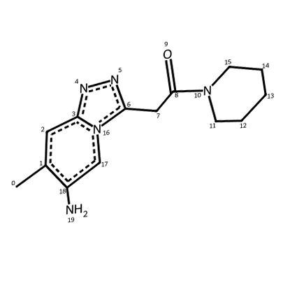 Cc1cc2nnc(CC(=O)N3CCCCC3)n2cc1N